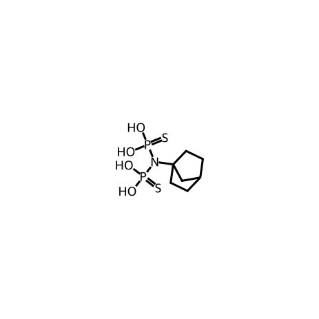 OP(O)(=S)N(C12CCC(CC1)C2)P(O)(O)=S